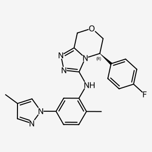 Cc1cnn(-c2ccc(C)c(Nc3nnc4n3[C@H](c3ccc(F)cc3)COC4)c2)c1